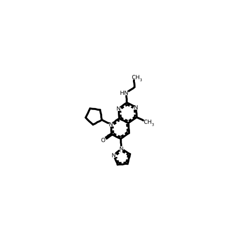 CCNc1nc(C)c2cc(-n3cccn3)c(=O)n(C3CCCC3)c2n1